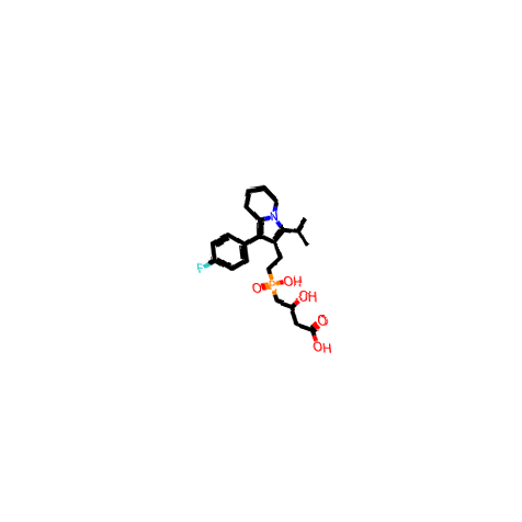 CC(C)c1c(CCP(=O)(O)CC(O)CC(=O)O)c(-c2ccc(F)cc2)c2n1CCCC2